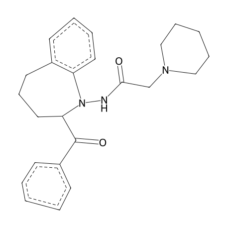 O=C(CN1CCCCC1)NN1c2ccccc2CCCC1C(=O)c1ccccc1